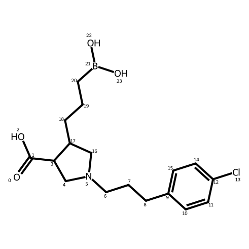 O=C(O)C1CN(CCCc2ccc(Cl)cc2)CC1CCCB(O)O